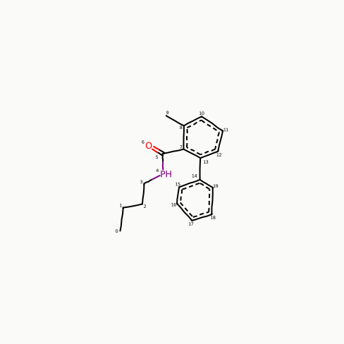 CCCCPC(=O)c1c(C)cccc1-c1ccccc1